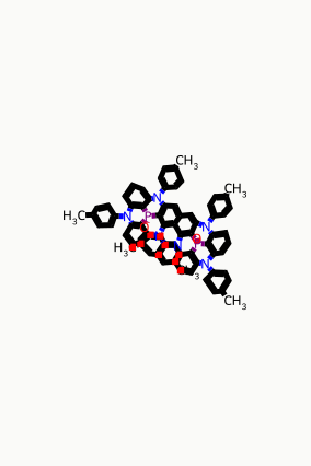 Cc1ccc(N2c3cccc4c3P3(=O)c5c2cccc5N(c2ccc(C)cc2)c2c3c(cc3cc5c6c(c23)N(c2ccc(C)cc2)c2cccc3c2P6(=O)c2c(cccc2N5c2ccc(C)cc2)N3c2ccc(C)cc2)N4c2ccc(C)cc2)cc1